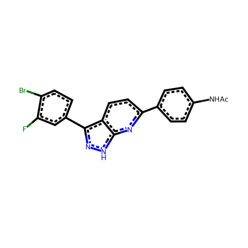 CC(=O)Nc1ccc(-c2ccc3c(-c4ccc(Br)c(F)c4)n[nH]c3n2)cc1